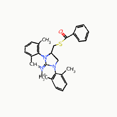 CC(=O)N=C1N(c2c(C)cccc2C)CC(CSC(=O)c2ccccc2)N1c1c(C)cccc1C